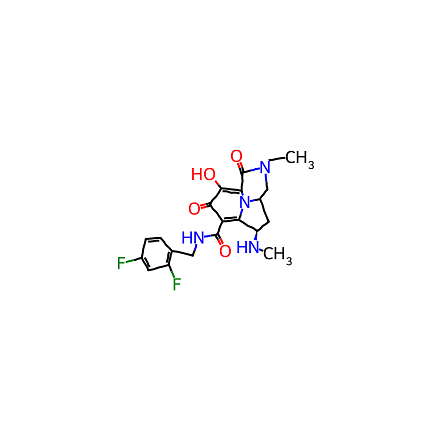 CCN1CC2C[C@@H](NC)c3c(C(=O)NCc4ccc(F)cc4F)c(=O)c(O)c(n32)C1=O